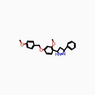 COc1ccc(COc2ccc(C3CC(c4ccccc4)=NN3)c(OC)c2)cc1